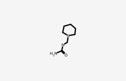 NC(=O)[N]CN1CCCCC1